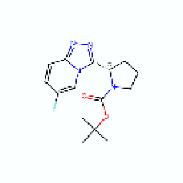 CC(C)(C)OC(=O)N1CCC[C@H]1c1nnc2ccc(F)cn12